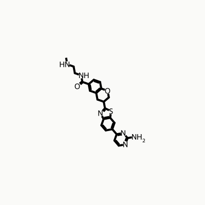 CNCCNC(=O)c1ccc2c(c1)CC(c1nc3ccc(-c4ccnc(N)n4)cc3s1)CO2